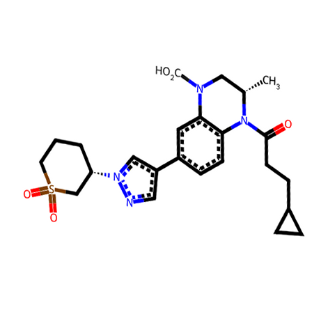 C[C@H]1CN(C(=O)O)c2cc(-c3cnn([C@H]4CCCS(=O)(=O)C4)c3)ccc2N1C(=O)CCC1CC1